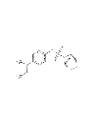 CCC(C)c1ccc(OS(=O)(=O)C2CC3CCC2C3)cc1